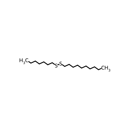 CCCCCCCCCCSSCCCCCCC